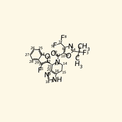 CC(C)(F)c1nc(C(F)F)c(C(=O)N2CCc3[nH]cnc3[C@H]2c2oc3ccccc3c2F)o1